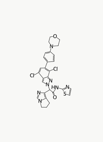 O=C(Nc1nccs1)C(c1ncn2c1CCC2)n1cc2c(Cl)cc(-c3ccc(N4CCOCC4)cc3)c(Cl)c2n1